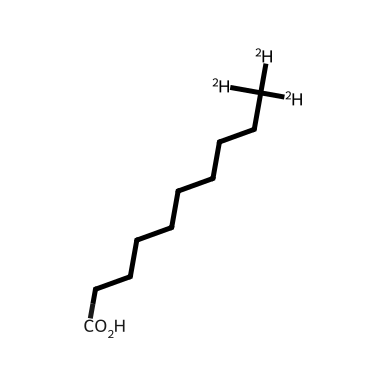 [2H]C([2H])([2H])CCCCCCCCC(=O)O